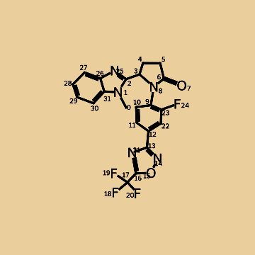 Cn1c(C2CCC(=O)N2c2ccc(-c3noc(C(F)(F)F)n3)cc2F)nc2ccccc21